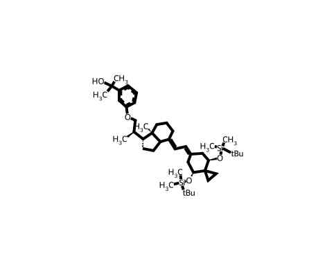 C[C@@H](COc1cccc(C(C)(C)O)c1)[C@H]1CCC2/C(=C/C=C3C[C@@H](O[Si](C)(C)C(C)(C)C)C4(CC4)[C@H](O[Si](C)(C)C(C)(C)C)C3)CCC[C@@]21C